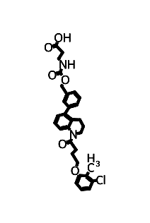 Cc1c(Cl)cccc1OCCCC(=O)N1CCCc2c(-c3cccc(COC(=O)NCCC(=O)O)c3)cccc21